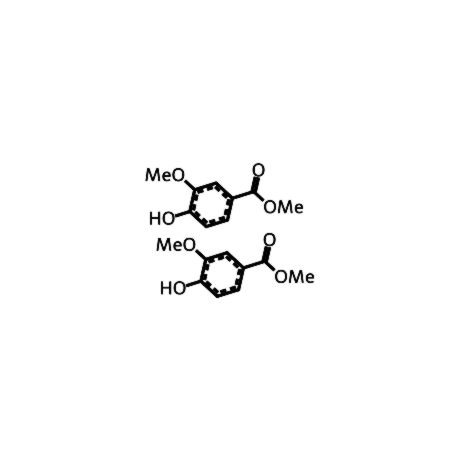 COC(=O)c1ccc(O)c(OC)c1.COC(=O)c1ccc(O)c(OC)c1